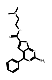 CN(C)CCNC(=O)c1cc2c(-c3ccccc3)nc(N)nc2s1